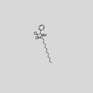 CCCCCCCCCCCCNC(C(=O)O)c1ccccc1